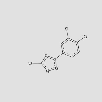 CCc1noc(-c2ccc(Cl)c(Cl)c2)n1